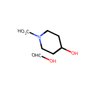 O=C(O)N1CCC(O)CC1.O=CO